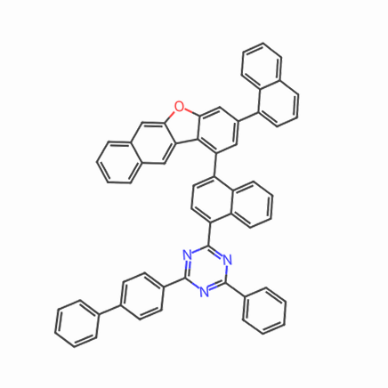 c1ccc(-c2ccc(-c3nc(-c4ccccc4)nc(-c4ccc(-c5cc(-c6cccc7ccccc67)cc6oc7cc8ccccc8cc7c56)c5ccccc45)n3)cc2)cc1